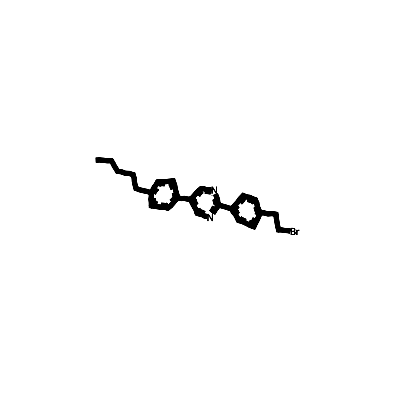 CCCCCc1ccc(-c2cnc(-c3ccc(CCBr)cc3)nc2)cc1